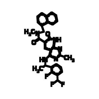 Cc1nc(N[C@H](C)c2cccc(C(F)F)c2F)c2cc(C(=O)N(C)Cc3cccc4ccccc34)c(=O)[nH]c2n1